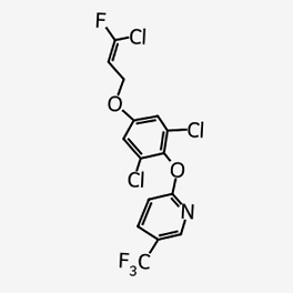 FC(Cl)=CCOc1cc(Cl)c(Oc2ccc(C(F)(F)F)cn2)c(Cl)c1